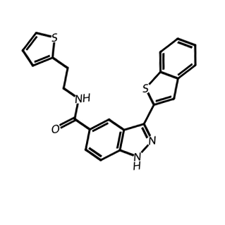 O=C(NCCc1cccs1)c1ccc2[nH]nc(-c3cc4ccccc4s3)c2c1